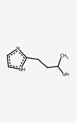 CCCC(C)CCc1ncc[nH]1